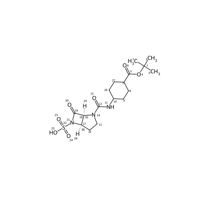 CC(C)(C)OC(=O)C1CCC(NC(=O)N2CC[C@@H]3[C@H]2C(=O)N3S(=O)(=O)O)CC1